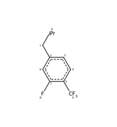 CC(C)Cc1ccc(C(F)(F)F)c(F)c1